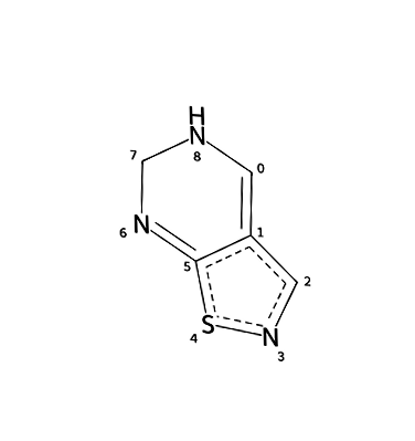 C1=c2cnsc2=NCN1